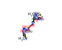 Cc1ncsc1-c1ccc(CNC(=O)[C@@H]2C[C@@H](O)CN2C(=O)[C@@H](NC(=O)CCOCCC(=O)N2CC=C(c3cc(NC(=O)c4c[nH]c(=O)cc4C(F)(F)F)c(N4C[C@@H](C)N(C)[C@@H](C)C4)cc3F)CC2)C(C)(C)C)cc1